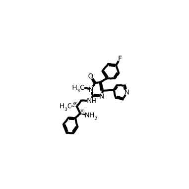 C[C@H](CNc1nc(-c2ccncc2)c(-c2ccc(F)cc2)c(=O)n1C)[C@@H](N)c1ccccc1